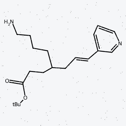 CC(C)(C)OC(=O)CCC(CC=Cc1cccnc1)CCCCN